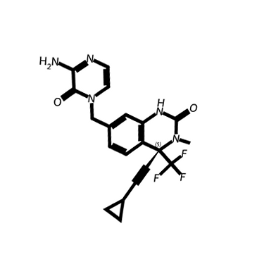 CN1C(=O)Nc2cc(Cn3ccnc(N)c3=O)ccc2[C@@]1(C#CC1CC1)C(F)(F)F